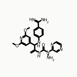 C=C(NC(=O)N(N)c1cnccn1)C(Nc1ccc(C(=N)N)cc1)c1cc(OC)nc(OC)c1